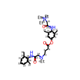 CCN(CCCC(=O)Oc1cc(C)c(NC(=O)C[N+](CC)(CC)CC)c(C)c1)CC(=O)Nc1c(C)cccc1C